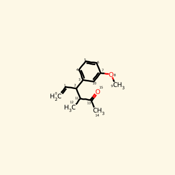 C=CC(c1cccc(OC)c1)C(C)C(C)=O